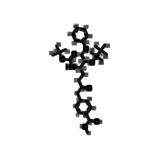 COC(=O)c1ccc(CC(=O)CC[C@@H](NC(=O)OC(C)(C)C)[C@@H](COc2ccccc2)O[Si](C)(C)C(C)(C)C)cc1